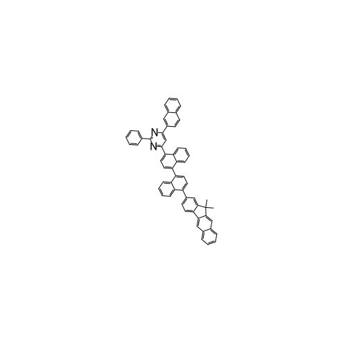 CC1(C)c2cc(-c3ccc(-c4ccc(-c5cc(-c6ccc7ccccc7c6)nc(-c6ccccc6)n5)c5ccccc45)c4ccccc34)ccc2-c2cc3ccccc3cc21